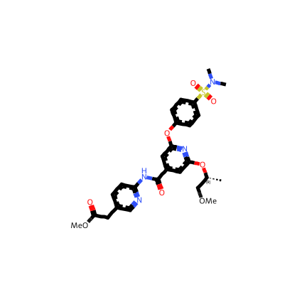 COC[C@@H](C)Oc1cc(C(=O)Nc2ccc(CC(=O)OC)cn2)cc(Oc2ccc(S(=O)(=O)N(C)C)cc2)n1